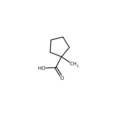 CC1(C(=O)O)CCCC1